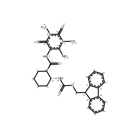 Cn1c(N)c(NC(=O)[C@@H]2CCCC[C@H]2NC(=O)OCC2c3ccccc3-c3ccccc32)c(=O)n(C)c1=O